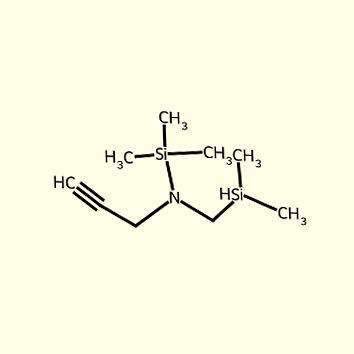 C#CCN(C[SiH](C)C)[Si](C)(C)C